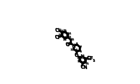 N#Cc1cc(OC2CCCN(C(=O)Cc3ccc(Cl)c(Cl)c3)C2)nc(C(F)(F)F)c1